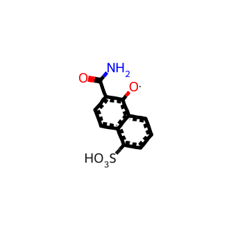 NC(=O)c1ccc2c(S(=O)(=O)O)cccc2c1[O]